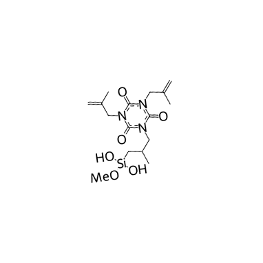 C=C(C)Cn1c(=O)n(CC(=C)C)c(=O)n(CC(C)C[Si](O)(O)OC)c1=O